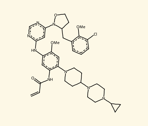 C=CC(=O)Nc1cc(Nc2cc(N3OCCC3Cc3cccc(Cl)c3OC)ncn2)c(OC)cc1N1CCC(N2CCN(C3CC3)CC2)CC1